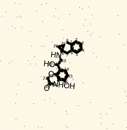 Cc1ccccc1CC1(NCC(O)c2ccc(O)c3c2OCC(=O)N3)CC1